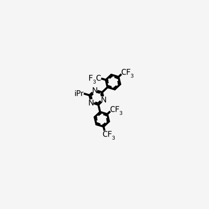 CC(C)c1nc(-c2ccc(C(F)(F)F)cc2C(F)(F)F)nc(-c2ccc(C(F)(F)F)cc2C(F)(F)F)n1